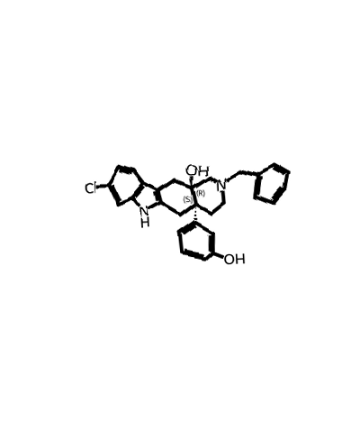 Oc1cccc([C@@]23CCN(Cc4ccccc4)C[C@@]2(O)Cc2c([nH]c4cc(Cl)ccc24)C3)c1